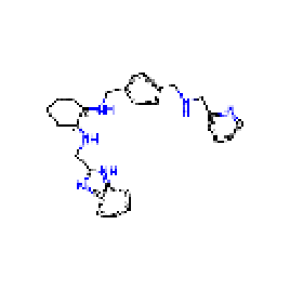 c1ccc(CNCc2ccc(CN[C@@H]3CCCC[C@@H]3NCc3nc4ccccc4[nH]3)cc2)nc1